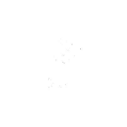 CN(C)C(=O)CN(C)C(=O)[C@H]1CC[C@H](Oc2cc(-n3c(C(F)F)nc4ccccc43)nc(N3CCOCC3)n2)CC1